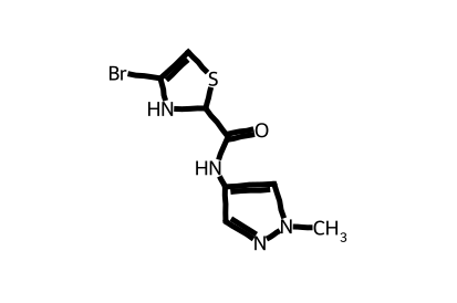 Cn1cc(NC(=O)C2NC(Br)=CS2)cn1